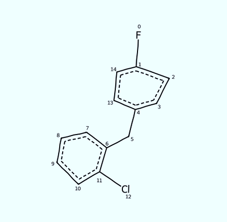 Fc1ccc(Cc2ccccc2Cl)cc1